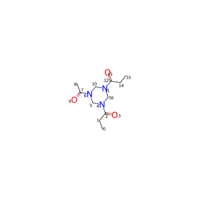 CCC(=O)N1CN(C(C)=O)CN(C(=O)CC)C1